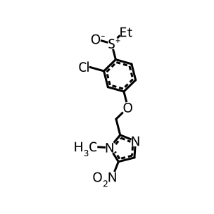 CC[S+]([O-])c1ccc(OCc2ncc([N+](=O)[O-])n2C)cc1Cl